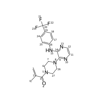 [CH2]C(=C)C(=O)N1CCN(c2nccnc2Nc2ccc(C(F)(F)F)cc2)CC1